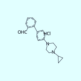 Cl.O=Cc1ccccc1-c1ccc(N2CCN(C3CC3)CC2)cc1